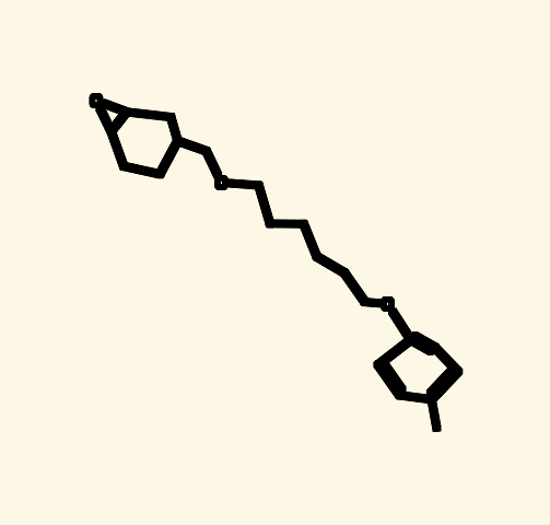 Cc1ccc(OCCCCCCOCC2CCC3OC3C2)cc1